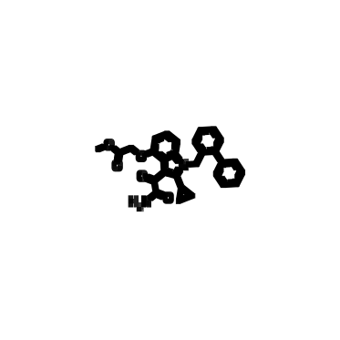 COC(=O)COc1cccc2c1c(C(=O)C(N)=O)c(C1CC1)n2Cc1ccccc1-c1ccccc1